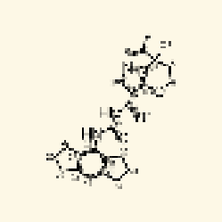 C=C(C)C1(F)CCOc2c([S+]([O-])NC(=O)Nc3c4c(cc5c3CCC5)CCC4)cnn21